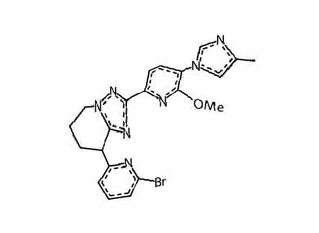 COc1nc(-c2nc3n(n2)CCCC3c2cccc(Br)n2)ccc1-n1cnc(C)c1